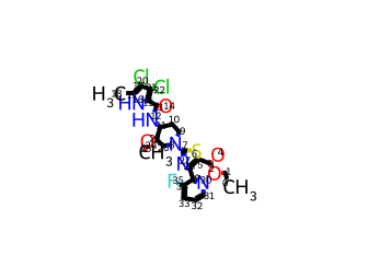 CCOC(=O)c1sc(N2CCC(NC(=O)c3[nH]c(C)c(Cl)c3Cl)C(OC)C2)nc1-c1ncccc1F